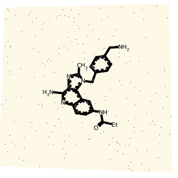 CCC(=O)Nc1ccc2nc(N)c3nc(C)n(Cc4ccc(CN)cc4)c3c2c1